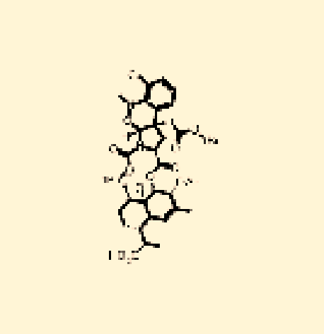 CC(=O)O[C@@H]1C(C)=CC2[C@H]([C@@H](C)C(=O)O)CC[C@@H](C)[C@@]2(O)[C@@H]1OC(=O)[C@@H]1C[C@@]2(OC(=O)OC(C)(C)C)c3cccc(Cl)c3N(C)O[C@H]2N1C(=O)OC(C)(C)C